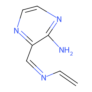 C=C/N=C\c1nccnc1N